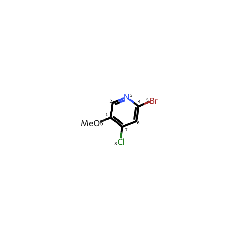 COc1cnc(Br)cc1Cl